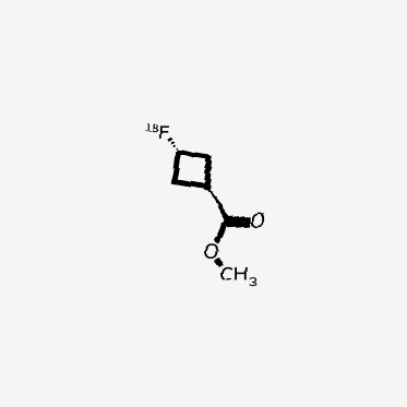 COC(=O)[C@H]1C[C@H]([18F])C1